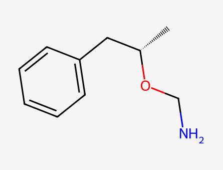 C[C@@H](Cc1ccccc1)OCN